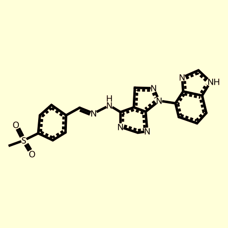 CS(=O)(=O)c1ccc(C=NNc2ncnc3c2cnn3-c2cccc3[nH]cnc23)cc1